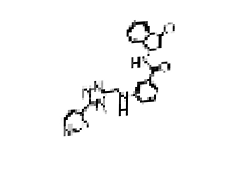 Cn1c(CNc2cccc(C(=O)NC3CC(=O)c4ccccc43)c2)nnc1-c1ccncn1